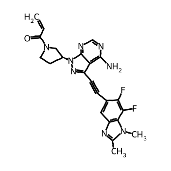 C=CC(=O)N1CC[C@H](n2nc(C#Cc3cc4nc(C)n(C)c4c(F)c3F)c3c(N)ncnc32)C1